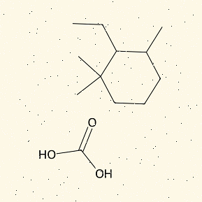 CCC1C(C)CCCC1(C)C.O=C(O)O